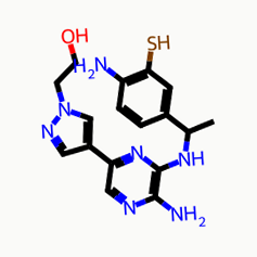 CC(Nc1nc(-c2cnn(CCO)c2)cnc1N)c1ccc(N)c(S)c1